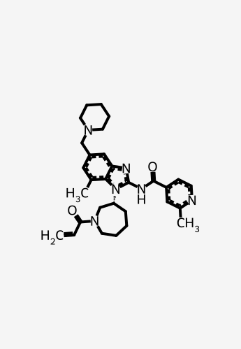 C=CC(=O)N1CCCC[C@@H](n2c(NC(=O)c3ccnc(C)c3)nc3cc(CN4CCCCC4)cc(C)c32)C1